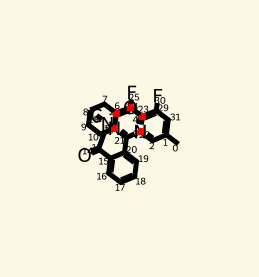 Cc1cnc(OC2CC3CCC2N(C(=O)c2ccccc2-c2ncc(F)cn2)C3)c(F)c1